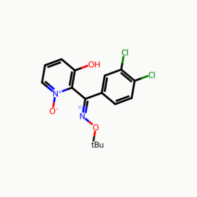 CC(C)(C)O/N=C(\c1ccc(Cl)c(Cl)c1)c1c(O)ccc[n+]1[O-]